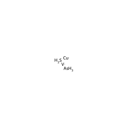 S.[AsH3].[Cu].[V]